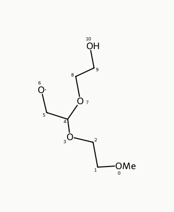 COCCOC(C[O])OCCO